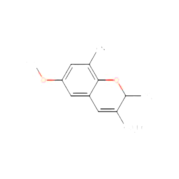 CCOC(=O)C1=Cc2cc(OC(F)(F)F)cc(C#N)c2OC1C(F)(F)F